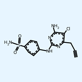 C#CCc1nc(Nc2ccc(S(N)(=O)=O)cc2)nc(N)c1Cl